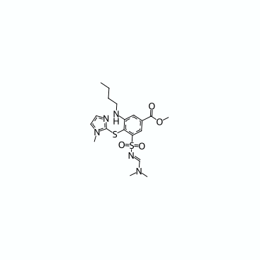 CCCCNc1cc(C(=O)OC)cc(S(=O)(=O)/N=C/N(C)C)c1Sc1nccn1C